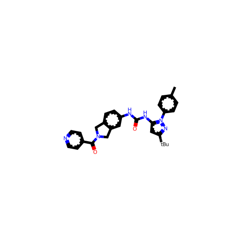 Cc1ccc(-n2nc(C(C)(C)C)cc2NC(=O)Nc2ccc3c(c2)CN(C(=O)c2ccncc2)C3)cc1